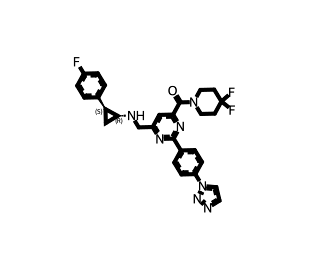 O=C(c1cc(CN[C@@H]2C[C@H]2c2ccc(F)cc2)nc(-c2ccc(-n3ccnn3)cc2)n1)N1CCC(F)(F)CC1